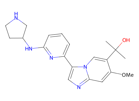 COc1cc2ncc(-c3cccc(NC4CCNC4)n3)n2cc1C(C)(C)O